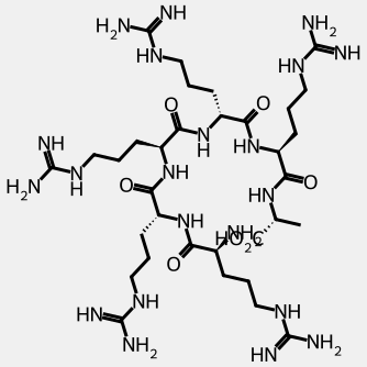 C[C@@H](NC(=O)[C@H](CCCNC(=N)N)NC(=O)[C@@H](CCCNC(=N)N)NC(=O)[C@H](CCCNC(=N)N)NC(=O)[C@@H](CCCNC(=N)N)NC(=O)[C@@H](N)CCCNC(=N)N)C(=O)O